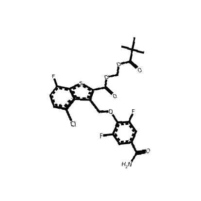 CC(C)(C)C(=O)OCOC(=O)c1sc2c(F)ccc(Cl)c2c1COc1c(F)cc(C(N)=O)cc1F